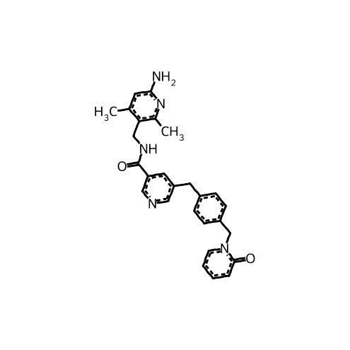 Cc1cc(N)nc(C)c1CNC(=O)c1cncc(Cc2ccc(Cn3ccccc3=O)cc2)c1